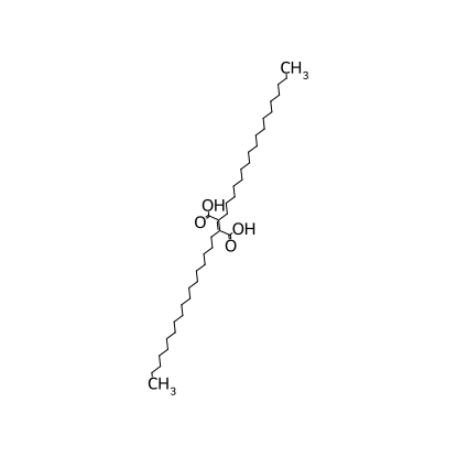 CCCCCCCCCCCCCCCCCCC(C(=O)O)=C(CCCCCCCCCCCCCCCCCC)C(=O)O